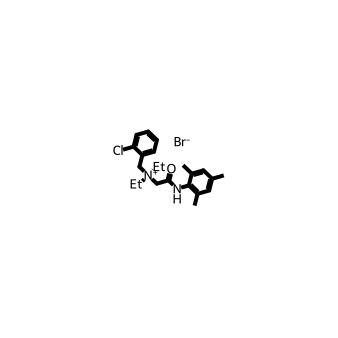 CC[N+](CC)(CC(=O)Nc1c(C)cc(C)cc1C)Cc1ccccc1Cl.[Br-]